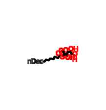 CCCCCCCCCCCCCCCCCC(=O)OC1=C(O)[C@@H]([C@@H](O)CO)OC1=O